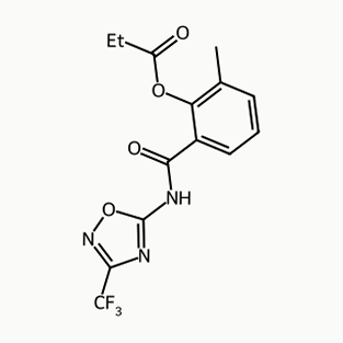 CCC(=O)Oc1c(C)cccc1C(=O)Nc1nc(C(F)(F)F)no1